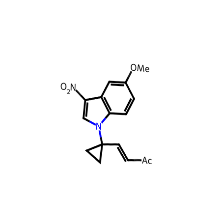 COc1ccc2c(c1)c([N+](=O)[O-])cn2C1(/C=C/C(C)=O)CC1